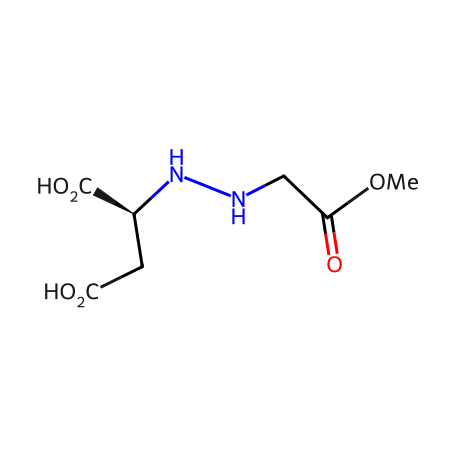 COC(=O)CNN[C@@H](CC(=O)O)C(=O)O